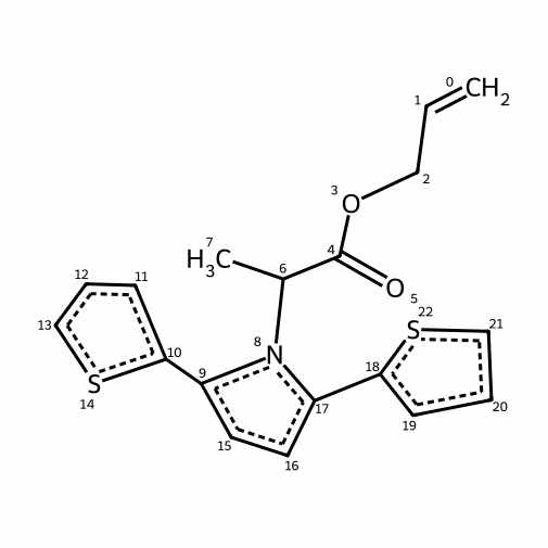 C=CCOC(=O)C(C)n1c(-c2cccs2)ccc1-c1cccs1